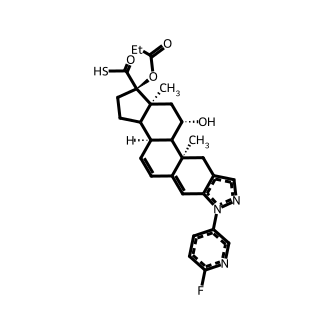 CCC(=O)O[C@]1(C(=O)S)CCC2[C@@H]3C=CC4=Cc5c(cnn5-c5ccc(F)nc5)C[C@]4(C)C3[C@@H](O)C[C@@]21C